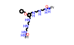 CC(C)NC(=O)NCCCNCCCNCc1cc(CNCCCNCCCNC(=O)NC(C)C)cc(OCC2CCCCC2)c1